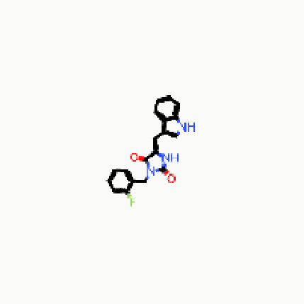 O=C1N/C(=C\c2c[nH]c3ccccc23)C(=O)N1Cc1ccccc1F